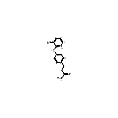 COC(=O)CCc1ccc(Oc2ncccc2Br)cc1